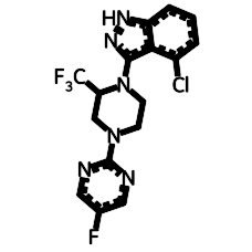 Fc1cnc(N2CCN(c3n[nH]c4cccc(Cl)c34)C(C(F)(F)F)C2)nc1